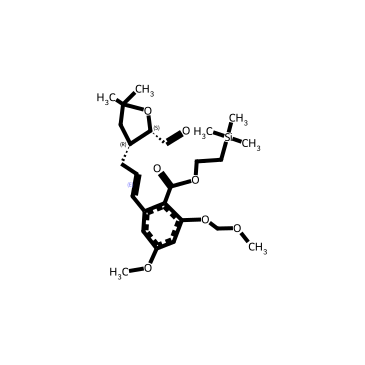 COCOc1cc(OC)cc(/C=C/C[C@@H]2CC(C)(C)O[C@@H]2C=O)c1C(=O)OCC[Si](C)(C)C